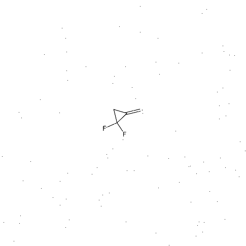 [CH]=C1CC1(F)F